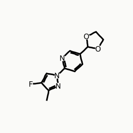 Cc1nn(-c2ccc(C3OCCO3)cn2)cc1F